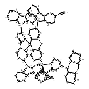 N#Cc1ccc2c(c1)c1ccccc1n2-c1ccc2c(c1)Oc1cc(-n3c4ccccc4c4cc(N5c6ccccc6Oc6ccccc65)ccc43)ccc1C21c2cc(-n3c4ccccc4c4ccccc43)cnc2-c2ncc(-n3c4ccccc4c4cc(C#N)ccc43)cc21